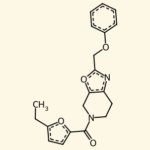 CCc1ccc(C(=O)N2CCc3nc(COc4ccccc4)oc3C2)o1